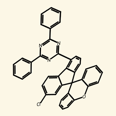 Clc1ccc2c(c1)C1(c3ccccc3Oc3ccccc31)c1cccc(-c3nc(-c4ccccc4)nc(-c4ccccc4)n3)c1-2